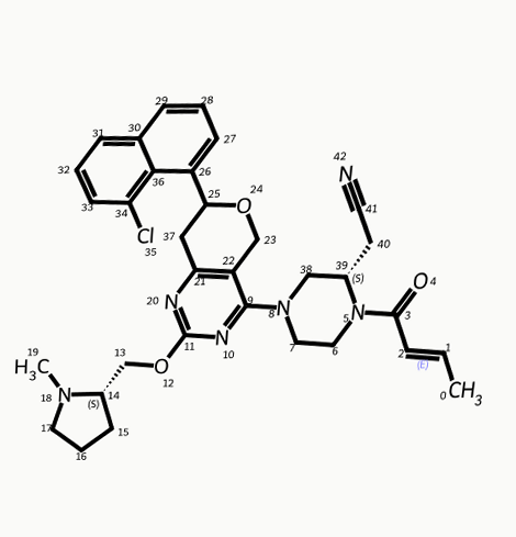 C/C=C/C(=O)N1CCN(c2nc(OC[C@@H]3CCCN3C)nc3c2COC(c2cccc4cccc(Cl)c24)C3)C[C@@H]1CC#N